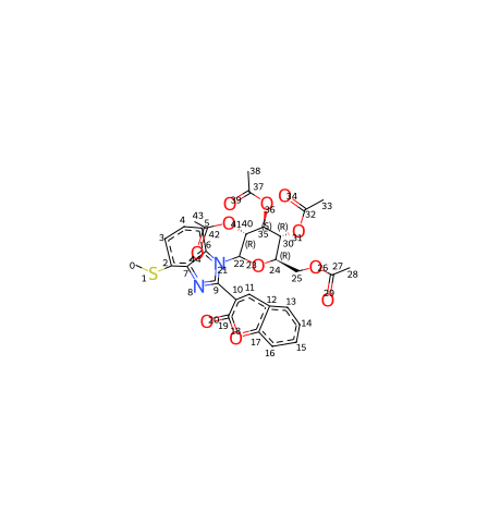 CSc1cccc2c1nc(-c1cc3ccccc3oc1=O)n2C1O[C@H](COC(C)=O)[C@@H](OC(C)=O)[C@H](OC(C)=O)[C@H]1OC(C)=O